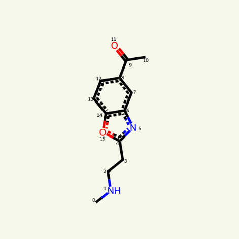 CNCCc1nc2cc(C(C)=O)ccc2o1